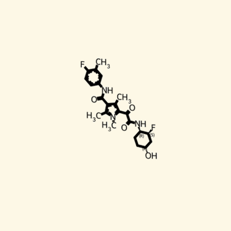 Cc1cc(NC(=O)c2c(C)c(C(=O)C(=O)N[C@@H]3CC[C@@H](O)C[C@@H]3F)n(C)c2C)ccc1F